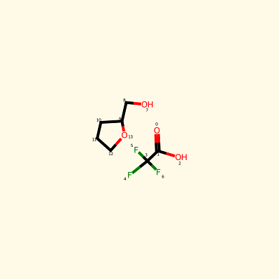 O=C(O)C(F)(F)F.OCC1CCCO1